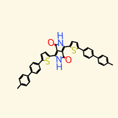 Cc1ccc(-c2ccc(-c3ccc(C4=C5C(=O)NC(c6ccc(-c7ccc(-c8ccc(C)cc8)cc7)s6)=C5C(=O)N4)s3)cc2)cc1